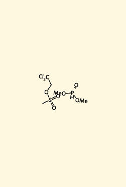 CO[PH](=O)OC.CS(=O)(=O)OCC(Cl)(Cl)Cl